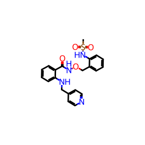 CS(=O)(=O)Nc1ccccc1CONC(=O)c1ccccc1NCc1ccncc1